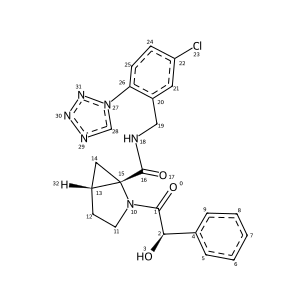 O=C([C@H](O)c1ccccc1)N1CC[C@@H]2C[C@@]21C(=O)NCc1cc(Cl)ccc1-n1cnnn1